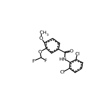 COc1ccc(C(=O)Nc2c(Cl)cccc2Cl)cc1OC(F)F